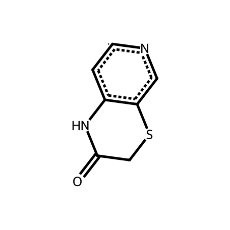 O=C1CSc2cn[c]cc2N1